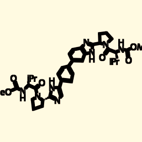 COC(=O)N[C@H](C(=O)N1CCCC1c1nc2ccc(-c3ccc(-c4cnc([C@@H]5CCCN5C(=O)[C@@H](NC(=O)OC)C(C)C)[nH]4)cc3)cc2[nH]1)C(C)C